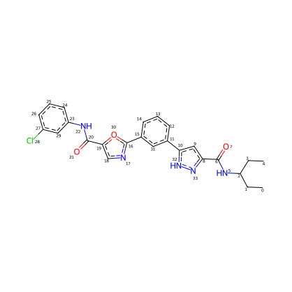 CCC(CC)NC(=O)c1cc(-c2cccc(-c3ncc(C(=O)Nc4cccc(Cl)c4)o3)c2)[nH]n1